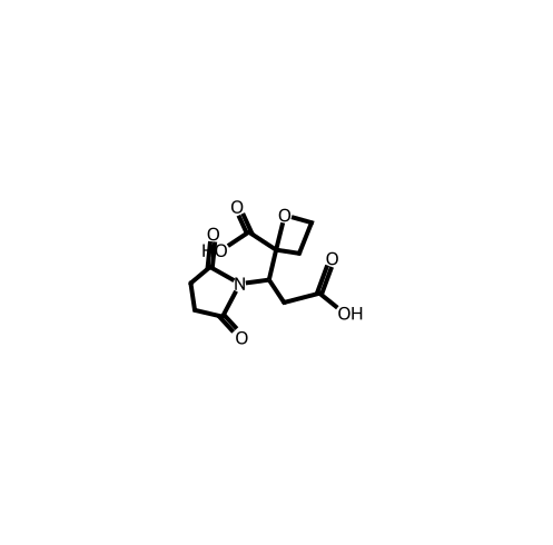 O=C(O)CC(N1C(=O)CCC1=O)C1(C(=O)O)CCO1